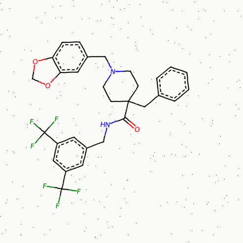 O=C(NCc1cc(C(F)(F)F)cc(C(F)(F)F)c1)C1(Cc2ccccc2)CCN(Cc2ccc3c(c2)OCO3)CC1